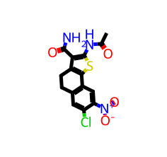 CC(=O)Nc1sc2c(c1C(N)=O)CCc1cc(Cl)c([N+](=O)[O-])cc1-2